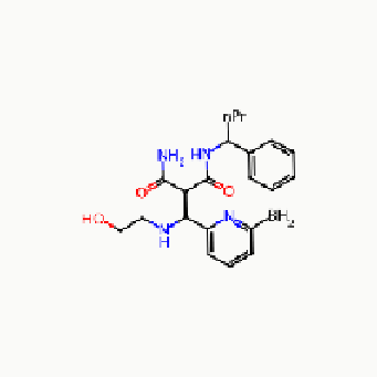 Bc1cccc(C(NCCO)C(C(N)=O)C(=O)NC(CCC)c2ccccc2)n1